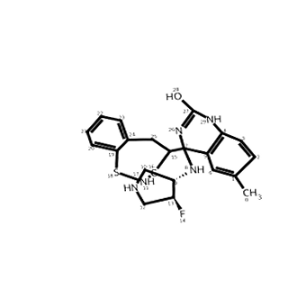 Cc1ccc2c(c1)C(N[C@H]1CNC[C@@H]1F)(C1CNSc3ccccc3C1)N=C(O)N2